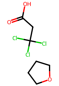 C1CCOC1.O=C(O)CC(Cl)(Cl)Cl